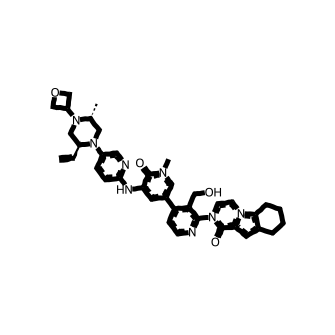 C=C[C@H]1CN(C2COC2)[C@H](C)CN1c1ccc(Nc2cc(-c3ccnc(-n4ccn5c6c(cc5c4=O)CCCC6)c3CO)cn(C)c2=O)nc1